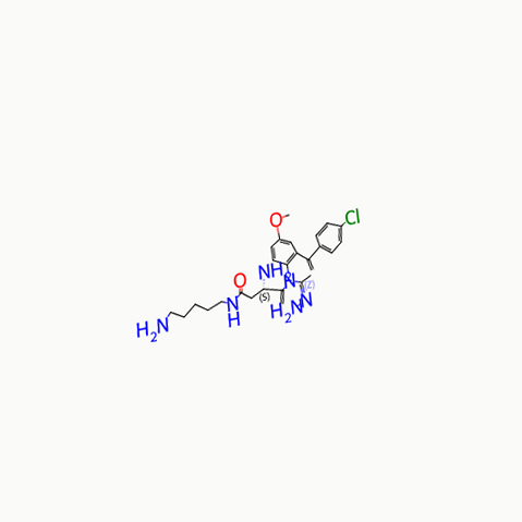 C=C(c1ccc(Cl)cc1)c1cc(OC)ccc1N(C(=C)[C@@H](N)CC(=O)NCCCCCN)/C(C)=N\N